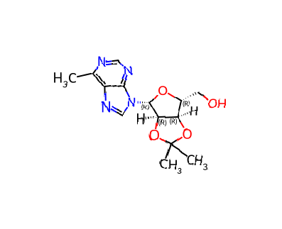 Cc1ncnc2c1ncn2[C@@H]1O[C@H](CO)[C@H]2OC(C)(C)O[C@H]21